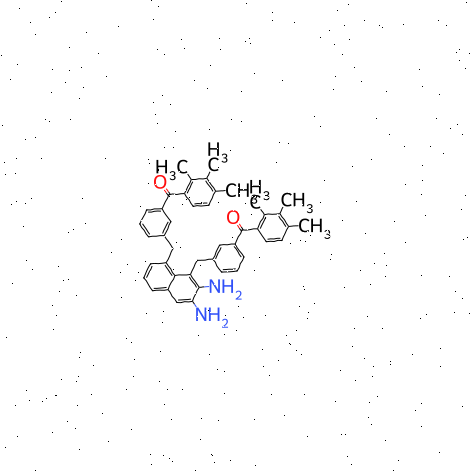 Cc1ccc(C(=O)c2cccc(Cc3cccc4cc(N)c(N)c(Cc5cccc(C(=O)c6ccc(C)c(C)c6C)c5)c34)c2)c(C)c1C